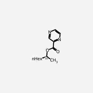 CCCCCC[C@H](C)OC(=O)c1cnccn1